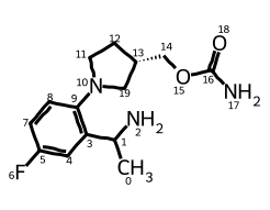 CC(N)c1cc(F)ccc1N1CC[C@H](COC(N)=O)C1